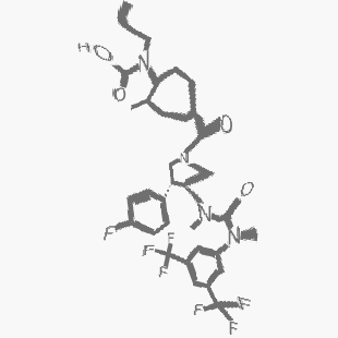 CCCN(C(=O)O)C1CCC(C(=O)N2C[C@@H](N(C)C(=O)N(C)c3cc(C(F)(F)F)cc(C(F)(F)F)c3)[C@H](c3ccc(F)cc3)C2)CC1C